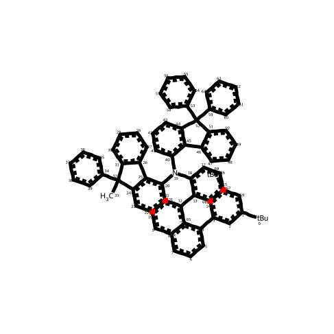 CC(C)(C)c1cc(-c2cccc3cccc(-c4ccccc4N(c4cccc5c4-c4ccccc4C5(C)c4ccccc4)c4cccc5c4-c4ccccc4C5(c4ccccc4)c4ccccc4)c23)cc(C(C)(C)C)c1